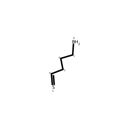 BCCCC=S